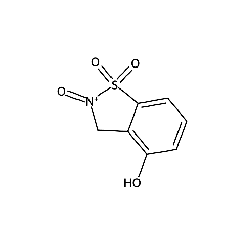 O=[N+]1Cc2c(O)cccc2S1(=O)=O